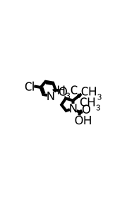 CC(C)(C)C1[C@@H](Oc2ccc(Cl)cn2)CCN1C(=O)O